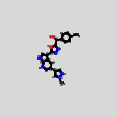 Cc1ccc(C(O)c2nnc(-c3c[nH]c4ncc(-c5cnn(C)c5)cc34)o2)cc1